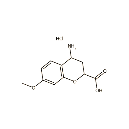 COc1ccc2c(c1)OC(C(=O)O)CC2N.Cl